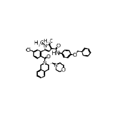 Cc1c(C(=O)Nc2ccc(OCc3ccccc3)cc2)cc(-c2cc(Cl)ccc2C(=O)N2Cc3ccccc3C[C@H]2CN2CCOCC2)n1C